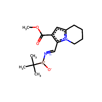 COC(=O)c1cc2n(c1/C=N/[S+]([O-])C(C)(C)C)CCCC2